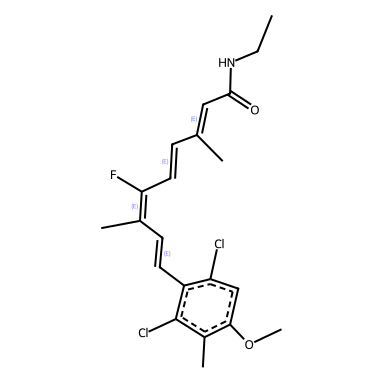 CCNC(=O)/C=C(C)/C=C/C(F)=C(C)\C=C\c1c(Cl)cc(OC)c(C)c1Cl